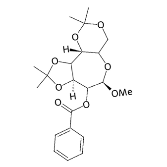 CO[C@@H]1OC2COC(C)(C)O[C@H]2C2OC(C)(C)O[C@@H]2C1OC(=O)c1ccccc1